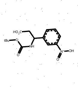 CC(C)(C)OC(=O)NC(CC(=O)O)c1cccc([N+](=O)O)c1